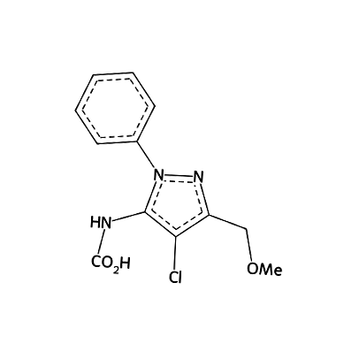 COCc1nn(-c2ccccc2)c(NC(=O)O)c1Cl